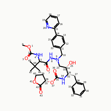 COC(=O)NC(C(=O)NN(Cc1ccc(-c2ccccn2)cc1)C[C@H](O)[C@H](Cc1ccccc1)NC(=O)O[C@H]1CCOC1=O)C(C)(C)C